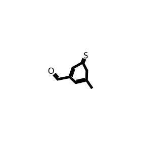 CC1=CC(C=O)=CC(=S)C1